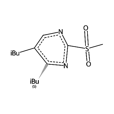 CCC(C)c1cnc(S(C)(=O)=O)nc1[C@@H](C)CC